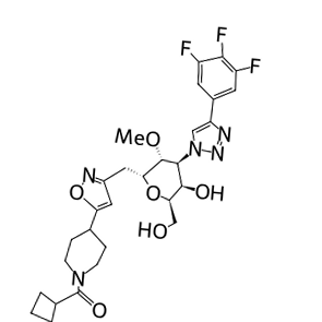 CO[C@@H]1[C@@H](n2cc(-c3cc(F)c(F)c(F)c3)nn2)[C@@H](O)[C@@H](CO)O[C@@H]1Cc1cc(C2CCN(C(=O)C3CCC3)CC2)on1